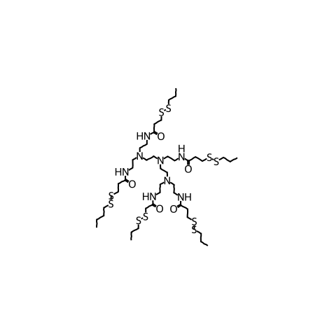 CCCCSSCCC(=O)NCCN(CCNC(=O)CCSSCCC)CCN(CCNC(=O)CCSSCCC)CCN(CCNC(=O)CCSSCCC)CCNC(=O)CSSCCC